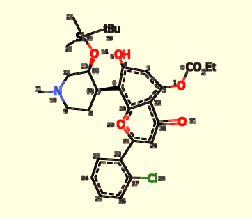 CCOC(=O)Oc1cc(O)c([C@H]2CCN(C)C[C@H]2O[Si](C)(C)C(C)(C)C)c2oc(-c3ccccc3Cl)cc(=O)c12